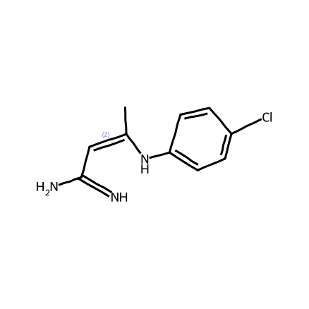 C/C(=C/C(=N)N)Nc1ccc(Cl)cc1